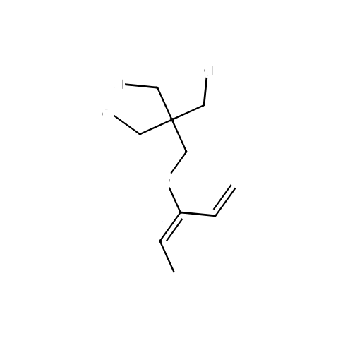 C=C/C(=C\C)OCC(CCl)(CCl)CCl